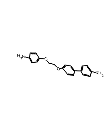 Nc1ccc(OCCOc2ccc(-c3ccc(N)cc3)cc2)cc1